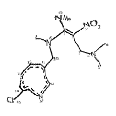 CNC(=C(CN(C)C)[N+](=O)[O-])N(C)Cc1ccc(Cl)nc1